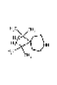 CC(C)(C)C1(C(C)(C)C)CCNCC1